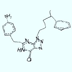 CC(CCCn1nnc2c(=O)[nH]c(Cc3ccc(N)cc3)nc21)c1ccccc1